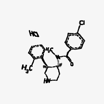 Cc1ccccc1[C@@H]1CNCC[C@H]1N(C)C(=O)c1ccc(Cl)cc1.Cl